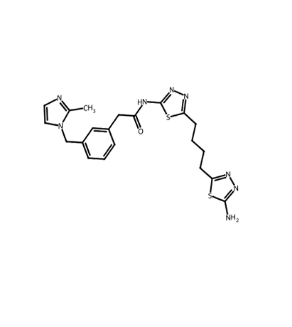 Cc1nccn1Cc1cccc(CC(=O)Nc2nnc(CCCCc3nnc(N)s3)s2)c1